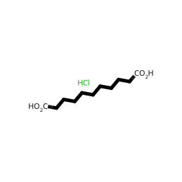 Cl.O=C(O)CCCCCCCCCC(=O)O